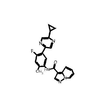 Cc1cc(F)c(-c2cnc(C3CC3)cn2)cc1NC(=O)c1cnn2ccccc12